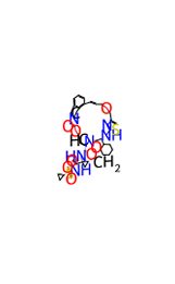 C=C[C@@H]1C[C@]1(NC(=O)[C@@H]1C[C@@H]2CN1C(=O)[C@H](C1CCCCC1)Nc1nc(cs1)COC/C=C/c1cccc3c1CN(C3)C(=O)O2)C(=O)NS(=O)(=O)C1CC1